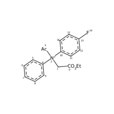 CCOC(=O)C[N+](C(C)=O)(c1ccccc1)c1ccc(F)cc1